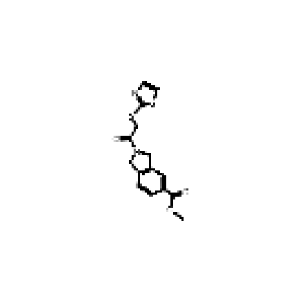 COC(=O)c1ccc2c(c1)CN(C(=O)CSc1nccs1)C2